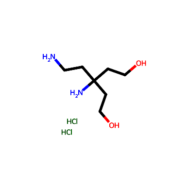 Cl.Cl.NCCC(N)(CCO)CCO